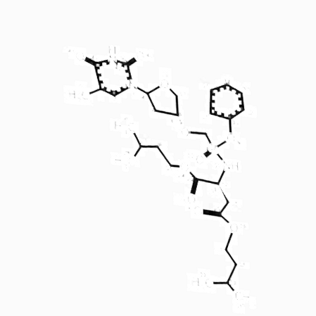 Cc1cn(C2C[C@@H](OCP(=O)(N[C@@H](CC(=O)OCCC(C)C)C(=O)OCCC(C)C)Oc3ccccc3)CO2)c(=O)[nH]c1=O